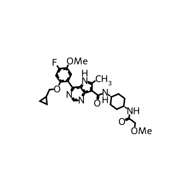 COCC(=O)N[C@H]1CC[C@@H](NC(=O)c2c(C)[nH]c3c(-c4cc(OC)c(F)cc4OCC4CC4)ncnc23)CC1